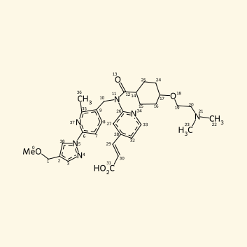 COCc1cnn(-c2ccc(CN(C(=O)C3CCC(OCCN(C)C)CC3)c3cc(C=CC(=O)O)ccn3)c(C)n2)c1